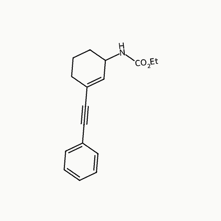 CCOC(=O)NC1C=C(C#Cc2ccccc2)CCC1